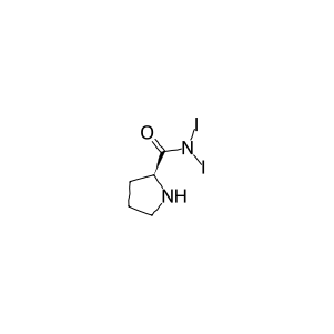 O=C([C@@H]1CCCN1)N(I)I